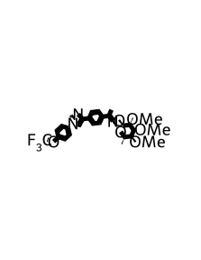 CO[C@@H]1[C@@H](OC)[C@H](C)O[C@@H](O/N=C(\C)c2ccc(-c3cn(-c4ccc(OC(F)(F)F)cc4)cn3)cc2)[C@@H]1OC